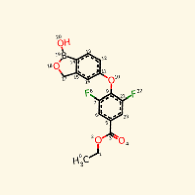 CCOC(=O)c1cc(F)c(Oc2ccc3c(c2)COB3O)c(F)c1